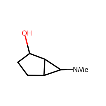 CNC1C2CCC(O)C21